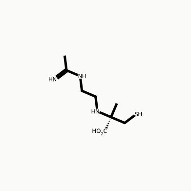 CC(=N)NCCN[C@@](C)(CS)C(=O)O